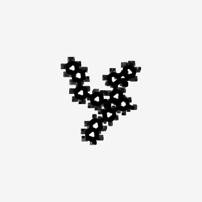 CC1C=C(c2ccc(-c3ccc4ccccc4c3)cc2N(c2ccc(-c3cccc(-c4ccc5ccccc5c4)c3)cc2)c2cccc(-c3cccc4c3sc3ccccc34)c2)C=CC1